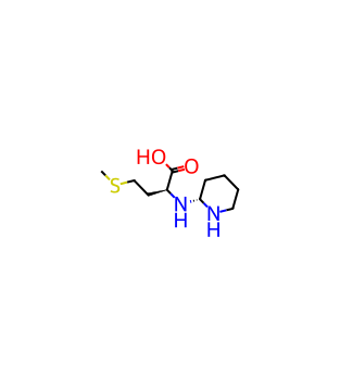 CSCC[C@H](N[C@@H]1CCCCN1)C(=O)O